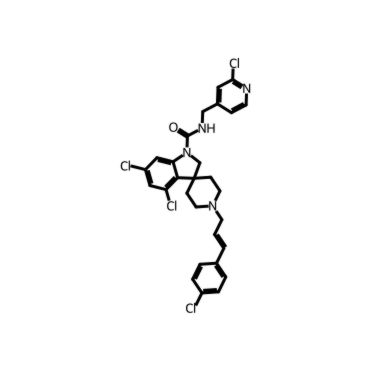 O=C(NCc1ccnc(Cl)c1)N1CC2(CCN(C/C=C/c3ccc(Cl)cc3)CC2)c2c(Cl)cc(Cl)cc21